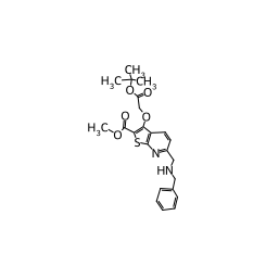 COC(=O)c1sc2nc(CNCc3ccccc3)ccc2c1OCC(=O)OC(C)(C)C